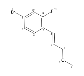 COC/C=C/c1ccc(Br)cc1F